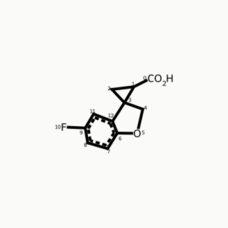 O=C(O)C1CC12COc1ccc(F)cc12